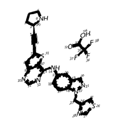 C(#C[C@H]1CCCN1)c1cc2ncnc(Nc3ccc4c(cnn4Cc4cscn4)c3)c2s1.O=C(O)C(F)(F)F